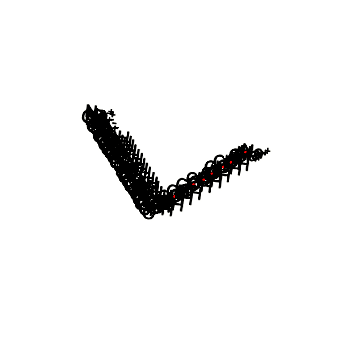 [Na+].[Na+].[Na+].[Na+].[Na+].[O-][Cl+]O.[O-][Cl+]O.[O-][Cl+]O.[O-][Cl+]O.[O-][Cl+]O.[O-][Cl+]O.[O-][Cl+]O.[O-][Cl+]O.[O-][Cl+]O.[O-][Cl+]O.[O-][Cl+]O.[O-][Cl+]O.[O-][Cl+]O.[O-][Cl+]O.[O-][Cl+]O.[O-][Cl+]O.[O-][Cl+]O.[O-][Cl+]O.[O-][Cl+]O.[O-][Cl+]O.[O-][Cl+]O.[O-][Cl+]O.[O-][Cl+]O.[O-][Cl+]O.[O-][Cl+]O.[O-][Cl+][O-].[O-][Cl+][O-].[O-][Cl+][O-].[O-][Cl+][O-].[O-][Cl+][O-]